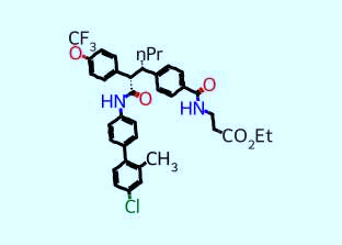 CCC[C@H](c1ccc(C(=O)NCCC(=O)OCC)cc1)[C@H](C(=O)Nc1ccc(-c2ccc(Cl)cc2C)cc1)c1ccc(OC(F)(F)F)cc1